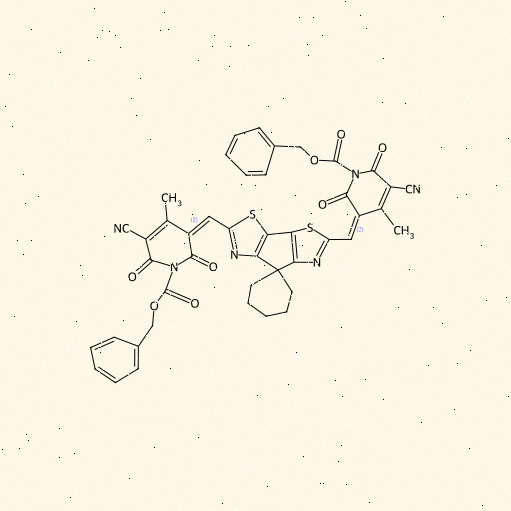 CC1=C(C#N)C(=O)N(C(=O)OCc2ccccc2)C(=O)/C1=C\c1nc2c(s1)-c1sc(/C=C3\C(=O)N(C(=O)OCc4ccccc4)C(=O)C(C#N)=C3C)nc1C21CCCCC1